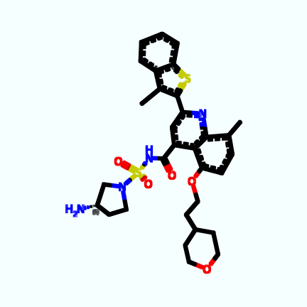 Cc1c(-c2cc(C(=O)NS(=O)(=O)N3CC[C@H](N)C3)c3c(OCCC4CCOCC4)ccc(C)c3n2)sc2ccccc12